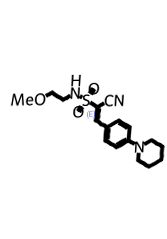 COCCNS(=O)(=O)/C(C#N)=C/c1ccc(N2CCCCC2)cc1